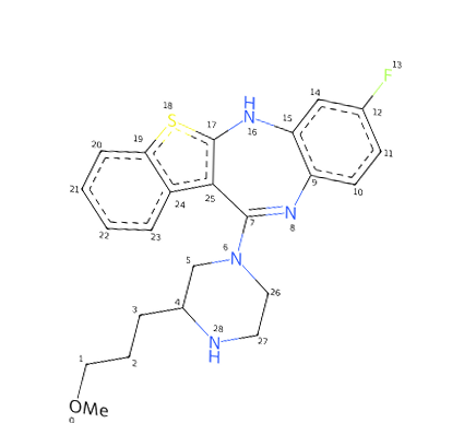 COCCCC1CN(C2=Nc3ccc(F)cc3Nc3sc4ccccc4c32)CCN1